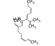 C=C/C=C\CCC(=C/C)/C=C(N)/C(=C/C=C\CC)C(=C)C